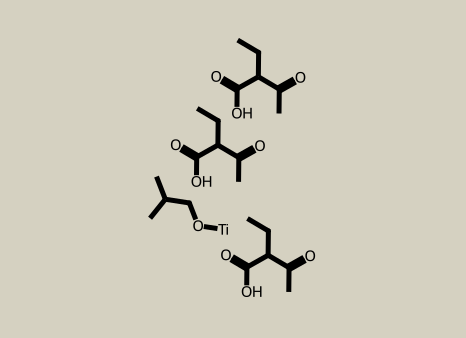 CC(C)C[O][Ti].CCC(C(C)=O)C(=O)O.CCC(C(C)=O)C(=O)O.CCC(C(C)=O)C(=O)O